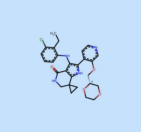 CCc1c(Cl)cccc1Nc1c(-c2ccncc2OC[C@@H]2COCCO2)[nH]c2c1C(=O)NCC21CC1